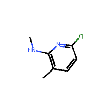 CNc1nc(Cl)ccc1C